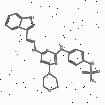 CS(=O)(=O)Nc1ccc(Nc2nc(N/N=C/c3c[nH]c4ccccc34)nc(N3CCOCC3)n2)cc1